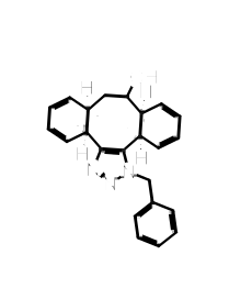 OC1C[C@@H]2C=CC=C[C@@H]2c2nnn(Cc3ccccc3)c2[C@@H]2C=CC=C[C@H]12